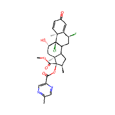 COC(=O)[C@@]1(OC(=O)c2cnc(C)cn2)[C@H](C)CC2C3C[C@H](F)C4=CC(=O)C=C[C@]4(C)[C@@]3(Cl)[C@@H](O)C[C@@]21C